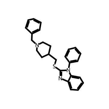 c1ccc(CN2CCC(CSc3nc4ccccc4n3-c3ccccc3)CC2)cc1